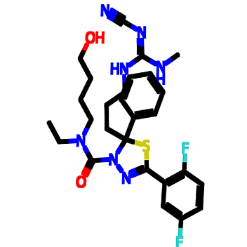 CCN(CCCCO)C(=O)N1N=C(c2cc(F)ccc2F)SC1(CCCN/C(=N\C#N)NC)c1ccccc1